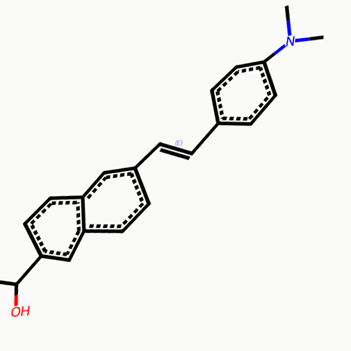 CC(O)c1ccc2cc(/C=C/c3ccc(N(C)C)cc3)ccc2c1